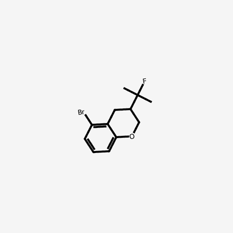 CC(C)(F)C1COc2cccc(Br)c2C1